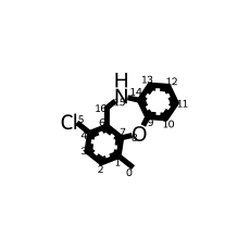 Cc1ccc(Cl)c2c1Oc1ccccc1NC2